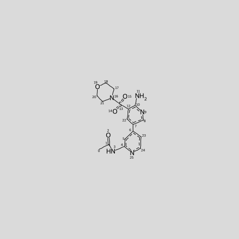 CC(=O)Nc1cc(-c2cnc(N)c(S(=O)(=O)N3CCOCC3)c2)ccn1